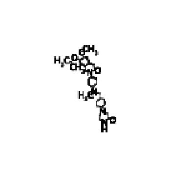 COc1cc2c(cc1OC(C)C)CN(c1ccc(N(C)C[C@H]3CC[C@H](N4CCNC(=O)C4)CC3)cc1)C(=O)C2